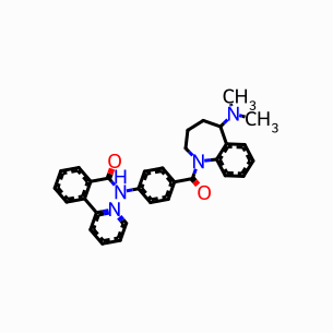 CN(C)C1CCCN(C(=O)c2ccc(NC(=O)c3ccccc3-c3ccccn3)cc2)c2ccccc21